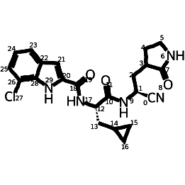 N#C[C@H](CC1CCNC1=O)NC(=O)[C@H](CC1CC1)NC(=O)c1cc2cccc(Cl)c2[nH]1